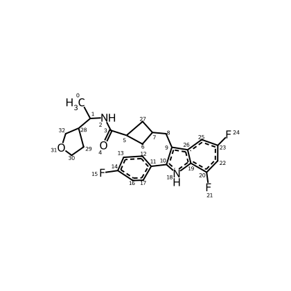 CC(NC(=O)C1CC(Cc2c(-c3ccc(F)cc3)[nH]c3c(F)cc(F)cc23)C1)C1CCOC1